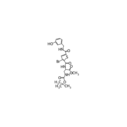 COC(=O)C(CNC(=O)OC(C)(C)C)NC(=O)c1sc(C(=O)NCc2cccc(O)c2)cc1Br